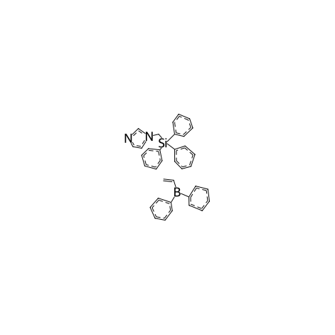 C=CB(c1ccccc1)c1ccccc1.c1ccc([Si](Cn2ccnc2)(c2ccccc2)c2ccccc2)cc1